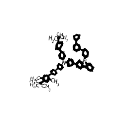 Cc1cc(C(C)(C)C)c(C)cc1-c1ccc(-c2ccc(N(c3ccc(-c4ccc(C(C)(C)C)cc4)cc3)c3ccc(-c4ccc5c6ccccc6n(-c6cccc(-c7cccc(-c8ccccc8)c7)c6)c5c4)cc3)cc2)cc1